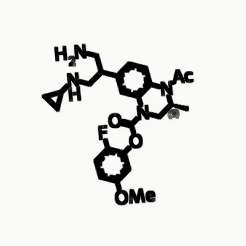 COc1ccc(F)c(OC(=O)N2C[C@H](C)N(C(C)=O)c3ccc(C(CN)CNC4CC4)cc32)c1